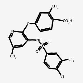 Cc1cnc(Oc2ccc(C(=O)O)c(C)c2)c(NS(=O)(=O)c2ccc(Cl)c(C(F)(F)F)c2)c1